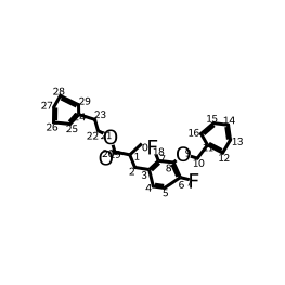 CC(Cc1ccc(F)c(OCc2ccccc2)c1F)C(=O)OCCc1ccccc1